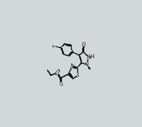 CCOC(=O)c1csc(-c2c(-c3ccc(F)cc3)c(=O)[nH]n2C)n1